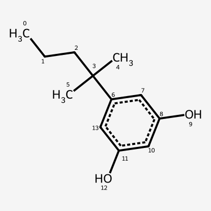 CCCC(C)(C)c1cc(O)cc(O)c1